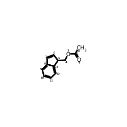 CC(=O)OCC1C=Cc2ccccc21